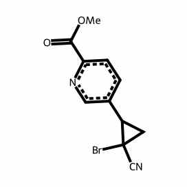 COC(=O)c1ccc(C2CC2(Br)C#N)cn1